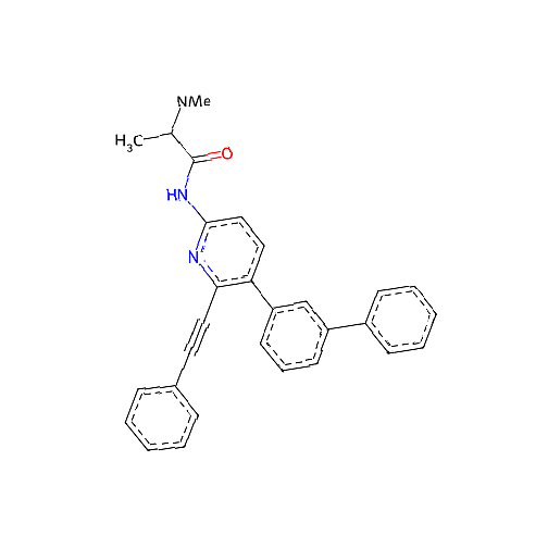 CNC(C)C(=O)Nc1ccc(-c2cccc(-c3ccccc3)c2)c(C#Cc2ccccc2)n1